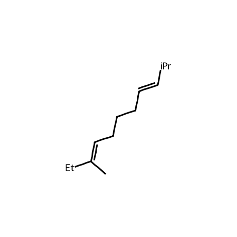 [CH2]C(C)/C=C/CCC/C=C(\C)CC